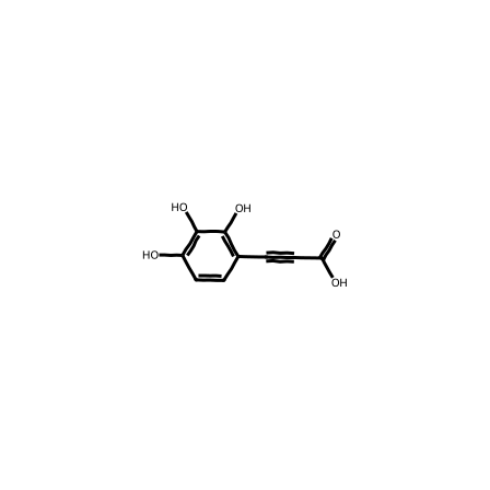 O=C(O)C#Cc1ccc(O)c(O)c1O